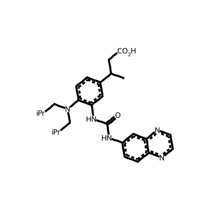 CC(C)CN(CC(C)C)c1ccc(C(C)CC(=O)O)cc1NC(=O)Nc1ccc2nccnc2c1